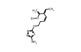 C=C(OCC)C(/C=C\CCOc1nnc(N)s1)=C/C